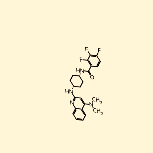 CN(C)c1cc(N[C@H]2CC[C@@H](NC(=O)c3ccc(F)c(F)c3F)CC2)nc2ccccc12